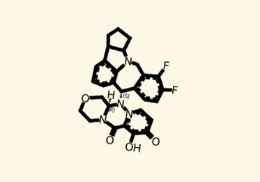 O=C1c2c(O)c(=O)ccn2N([C@H]2c3ccc(F)c(F)c3CN3c4c(cccc42)C2CCCC23)[C@@H]2COCCN12